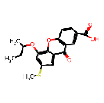 CCC(C)Oc1cc(SC)cc2c(=O)c3cc(C(=O)O)ccc3oc12